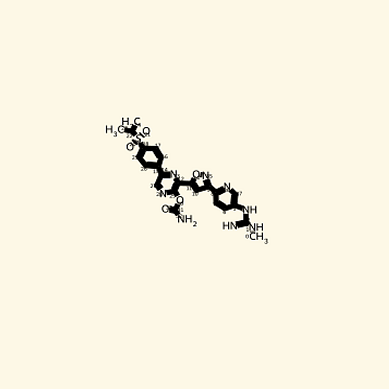 CNC(=N)Nc1ccc(-c2cc(-c3nc(-c4ccc(S(=O)(=O)C(C)C)cc4)cnc3OC(N)=O)on2)nc1